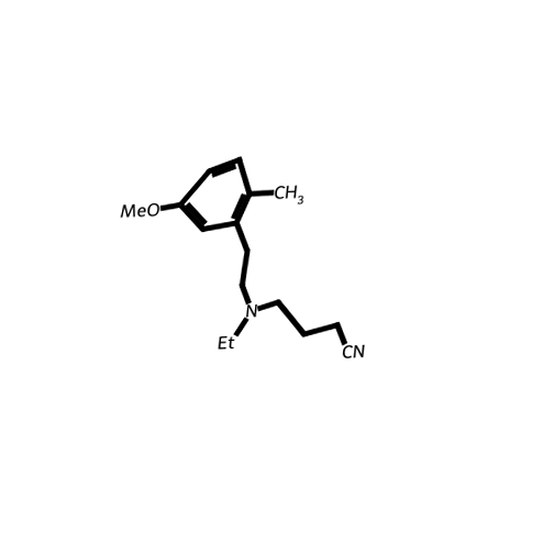 CCN(CCCC#N)CCc1cc(OC)ccc1C